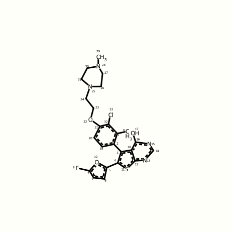 Cc1c(-c2c(-c3ccc(F)o3)sc3ncnc(O)c23)ccc(OCCN2CCN(C)CC2)c1Cl